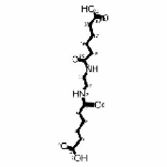 O=C(O)CCCCC(=O)NCCNC(=O)CCCCC(=O)O